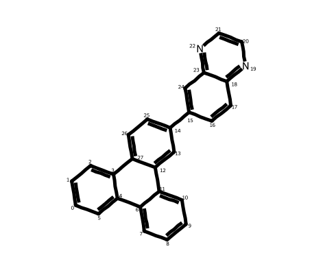 c1ccc2c(c1)c1ccccc1c1cc(-c3ccc4nccnc4c3)ccc21